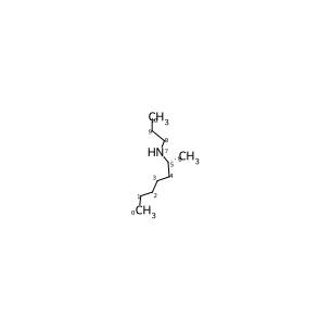 CCCCC[C@@H](C)NCCC